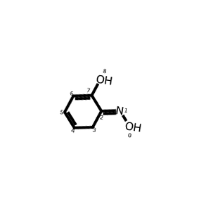 ON=C1CC=CC=C1O